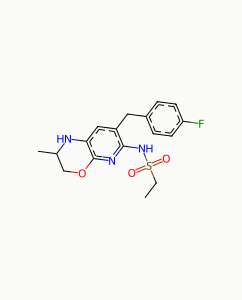 CCS(=O)(=O)Nc1nc2c(cc1Cc1ccc(F)cc1)NC(C)CO2